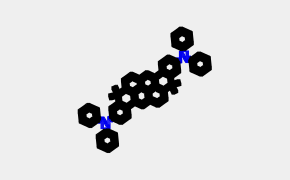 CC1(C)c2cc(N(c3ccccc3)c3ccccc3)ccc2-c2cc3ccc4c5c(cc6ccc1c2c6c35)-c1ccc(N(c2ccccc2)c2ccccc2)cc1C4(C)C